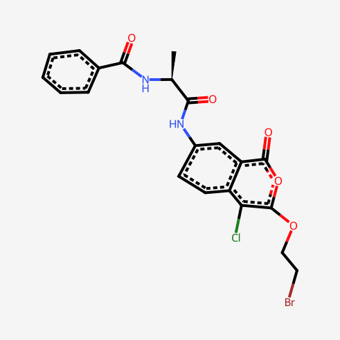 C[C@H](NC(=O)c1ccccc1)C(=O)Nc1ccc2c(Cl)c(OCCBr)oc(=O)c2c1